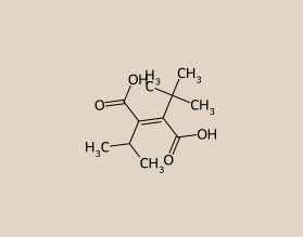 CC(C)C(C(=O)O)=C(C(=O)O)C(C)(C)C